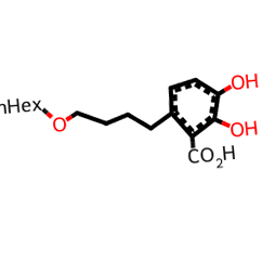 CCCCCCOCCCCc1ccc(O)c(O)c1C(=O)O